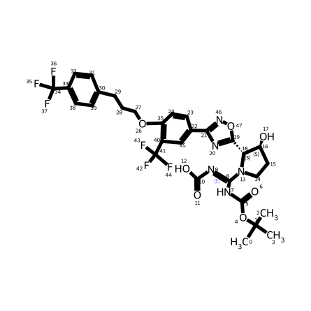 CC(C)(C)OC(=O)N/C(=N\C(=O)O)N1CC[C@H](O)[C@H]1c1nc(-c2ccc(OCCCc3ccc(C(F)(F)F)cc3)c(C(F)(F)F)c2)no1